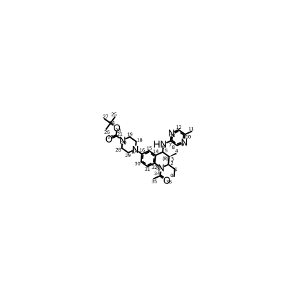 CCC1[C@H](C)C(Nc2cnc(C)cn2)c2cc(N3CCN(C(=O)OC(C)(C)C)CC3)ccc2N1C(C)=O